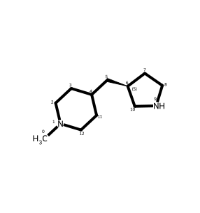 CN1CCC(C[C@H]2CCNC2)CC1